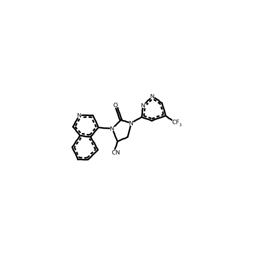 N#CC1CN(c2cc(C(F)(F)F)cnn2)C(=O)N1c1cncc2ccccc12